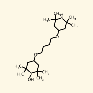 CC1(C)CC(OCCCCOC2CC(C)(C)N(O)C(C)(C)C2)CC(C)(C)N1